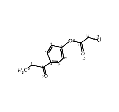 CCC(=O)c1ccc(OC(=O)CCl)cc1